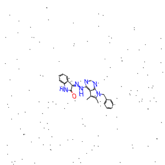 Cc1c(C)n(Cc2ccccc2)c2ncnc(N/N=C3\C(=O)Nc4ccccc43)c12